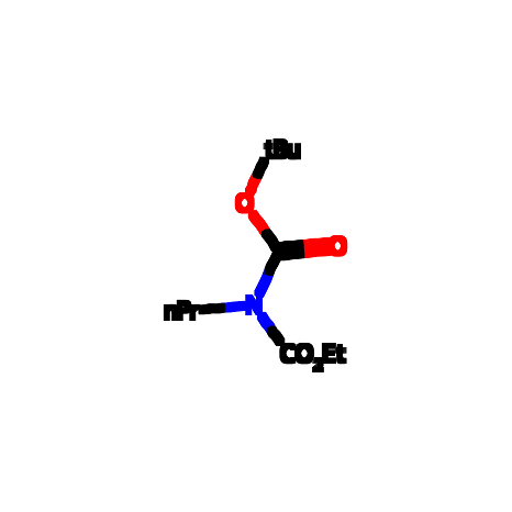 CCCN(C(=O)OCC)C(=O)OC(C)(C)C